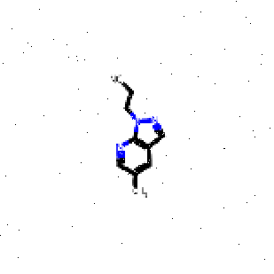 Cc1cnc2c(cnn2CCC#N)c1